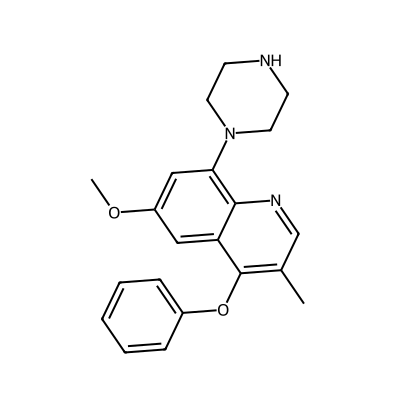 COc1cc(N2CCNCC2)c2ncc(C)c(Oc3ccccc3)c2c1